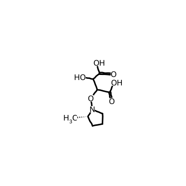 C[C@H]1CCCN1OC(C(=O)O)C(O)C(=O)O